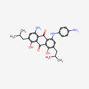 CC(C)Cc1cc(N)c2c(c1O)C(=O)c1c(O)c(CC(C)C)cc(Nc3ccc(N)cc3)c1C2=O